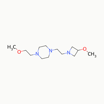 COCCN1CCN(CCN2CC(OC)C2)CC1